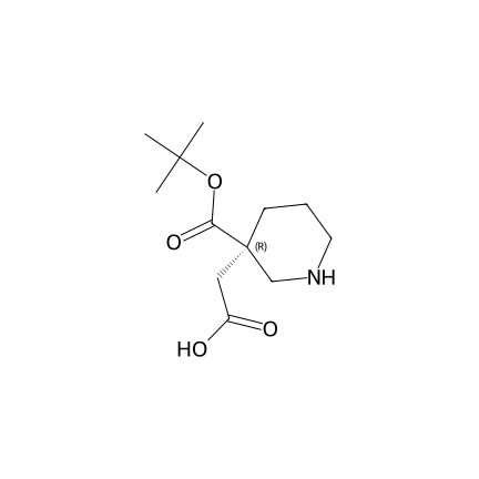 CC(C)(C)OC(=O)[C@@]1(CC(=O)O)CCCNC1